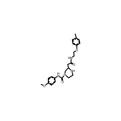 COc1ccc(NC(=O)N2CCNC(CC(=O)NCCOc3ccc(C)cc3)C2)cc1